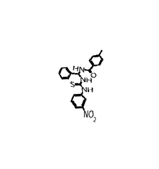 Cc1ccc(C(=O)NC(NC(=S)Nc2cccc([N+](=O)[O-])c2)c2ccccc2)cc1